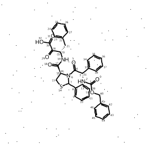 O=C(N[C@H](C(=O)N1C(c2ccccc2)SC[C@H]1C(=O)N[C@@H](Cc1ccccc1)C(=O)C(=O)O)c1ccccc1)OCc1ccccc1